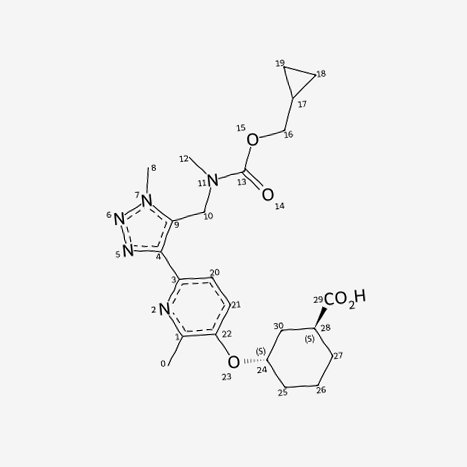 Cc1nc(-c2nnn(C)c2CN(C)C(=O)OCC2CC2)ccc1O[C@H]1CCC[C@H](C(=O)O)C1